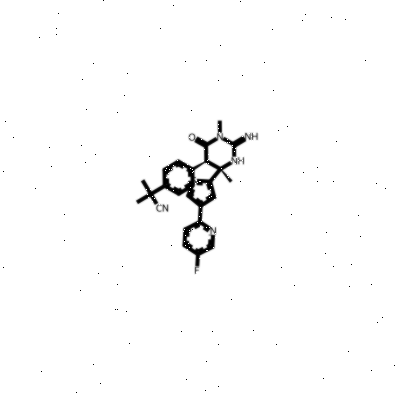 CN1C(=N)N[C@](C)(c2cc(-c3ccc(F)cn3)cs2)[C@@H](c2ccc(C(C)(C)C#N)cc2)C1=O